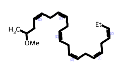 CC/C=C\C/C=C\C/C=C\C/C=C\C/C=C\C/C=C\CC(C)OC